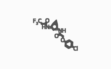 O=C(COc1ccc(Cl)cc1)N[C@H]1C[C@@H](NC(=O)CC(F)(F)F)C2CC21